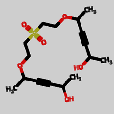 CC(O)C#CC(C)OCCS(=O)(=O)CCOC(C)C#CC(C)O